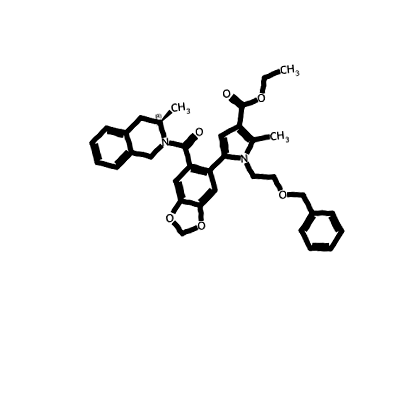 CCOC(=O)c1cc(-c2cc3c(cc2C(=O)N2Cc4ccccc4C[C@H]2C)OCO3)n(CCOCc2ccccc2)c1C